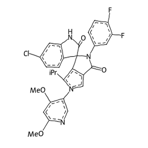 COc1cc(OC)c(-n2cc3c(c2C(C)C)C2(C(=O)Nc4cc(Cl)ccc42)N(c2ccc(F)c(F)c2)C3=O)cn1